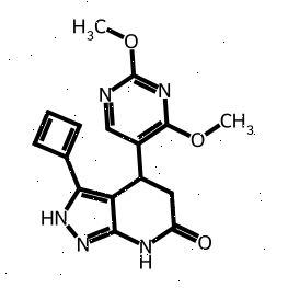 COc1ncc(C2CC(=O)Nc3n[nH]c(C4=CC=C4)c32)c(OC)n1